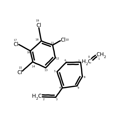 C=C.C=Cc1ccccc1.Clc1ccc(Cl)c(Cl)c1Cl